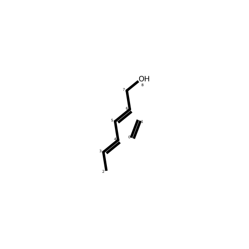 C=C.CC=CC=CCO